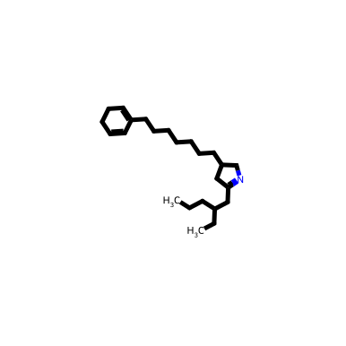 CCCC(CC)CC1=NCC(CCCCCCCC2=CCCC=C2)C1